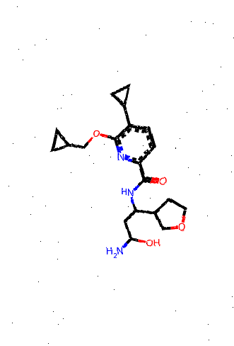 NC(O)CC(NC(=O)c1ccc(C2CC2)c(OCC2CC2)n1)C1CCOC1